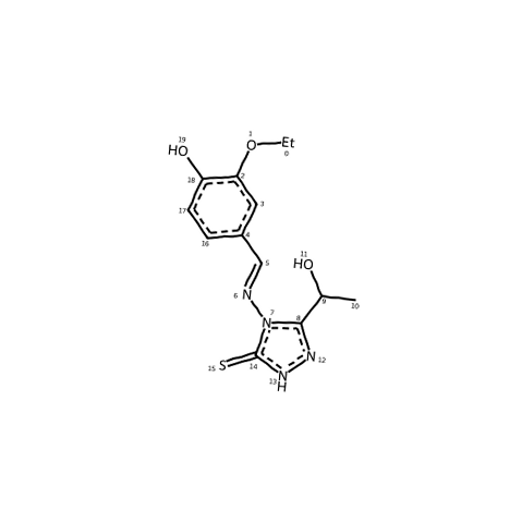 CCOc1cc(C=Nn2c(C(C)O)n[nH]c2=S)ccc1O